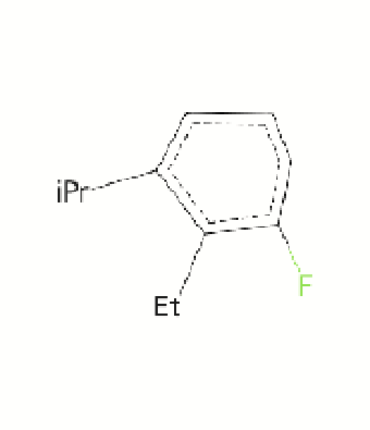 [CH2]C(C)c1cccc(F)c1CC